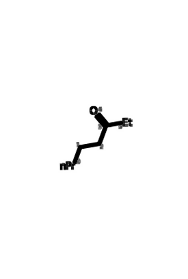 [CH2]CCCCC(=O)CC